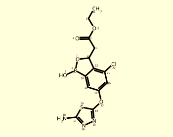 CCOC(=O)CC1OB(O)c2cc(Oc3nnc(N)s3)cc(Cl)c21